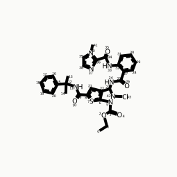 CCOC(=O)N1c2sc(C(=O)NC(C)(C)c3ccccc3)cc2C(NC(=O)c2ccccc2NC(=O)c2nccn2C)N1Cl